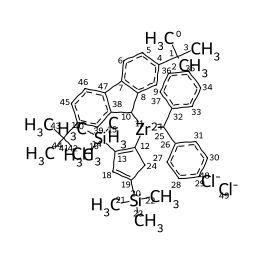 CC(C)(C)c1ccc2c(c1)[CH]([Zr+2]([C]1=C([Si](C)(C)C)C=C([Si](C)(C)C)C1)=[C](c1ccccc1)c1ccccc1)c1cc(C(C)(C)C)ccc1-2.[Cl-].[Cl-]